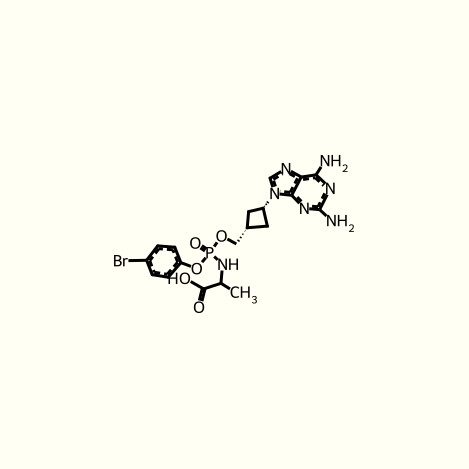 CC(NP(=O)(OC[C@H]1C[C@@H](n2cnc3c(N)nc(N)nc32)C1)Oc1ccc(Br)cc1)C(=O)O